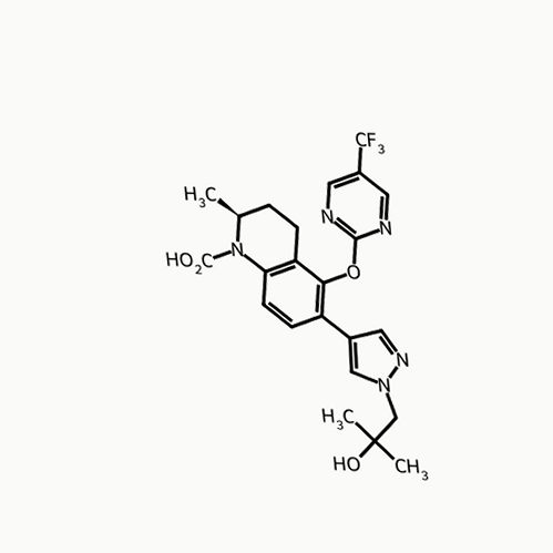 C[C@H]1CCc2c(ccc(-c3cnn(CC(C)(C)O)c3)c2Oc2ncc(C(F)(F)F)cn2)N1C(=O)O